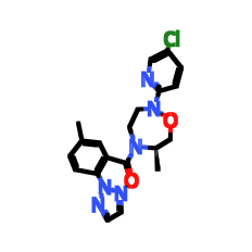 Cc1ccc(-n2nccn2)c(C(=O)N2CCN(c3ccc(Cl)cn3)OC[C@H]2C)c1